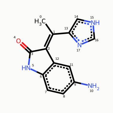 C/C(=C1\C(=O)Nc2ccc(N)cc21)c1c[nH]cn1